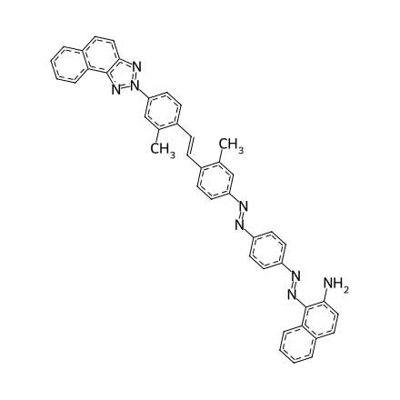 Cc1cc(N=Nc2ccc(N=Nc3c(N)ccc4ccccc34)cc2)ccc1C=Cc1ccc(-n2nc3ccc4ccccc4c3n2)cc1C